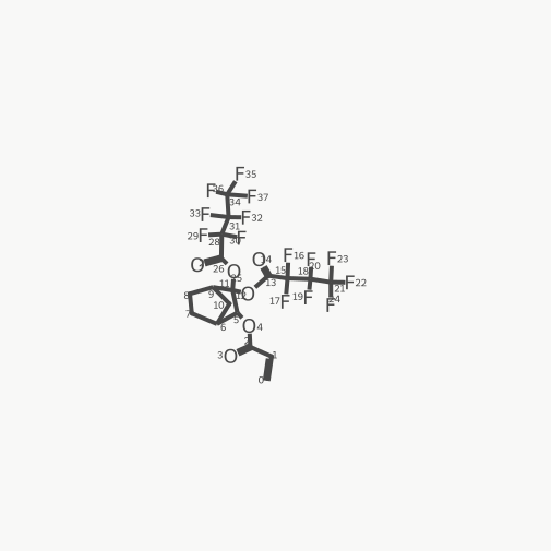 C=CC(=O)OC1C2CCC(C2)C1(OC(=O)C(F)(F)C(F)(F)C(F)(F)F)OC(=O)C(F)(F)C(F)(F)C(F)(F)F